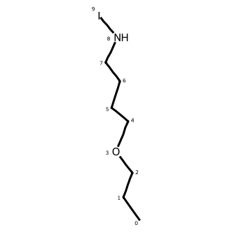 CCCOCCCCNI